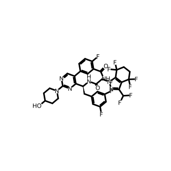 NC(=O)c1cc(-c2cnc(N3CCC(O)CC3)nc2[C@H](Cc2cc(F)cc(F)c2)NC(=O)Cn2nc(C(F)F)c3c2C(F)(F)CCC3(F)F)ccc1F